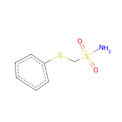 NS(=O)(=O)CSc1ccccc1